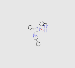 O=C(c1cccc2cc[nH]c12)N1CC(CN2CCC(c3ccccc3)CC2)C(c2ccccc2)C1